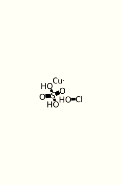 O=S(=O)(O)O.OCl.[Cu]